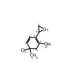 CC1(Cl)C=CC(C2CO2)=C(O)C1